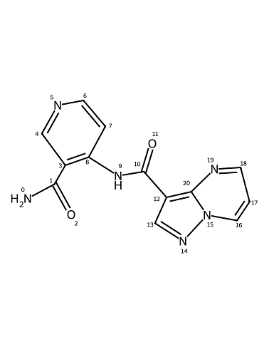 NC(=O)c1cnccc1NC(=O)c1cnn2cccnc12